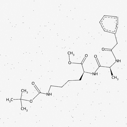 COC(=O)[C@H](CCCCNC(=O)OC(C)(C)C)NC(=O)[C@H](C)NC(=O)Cc1ccccc1